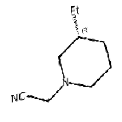 CC[C@@H]1CCCN(CC#N)C1